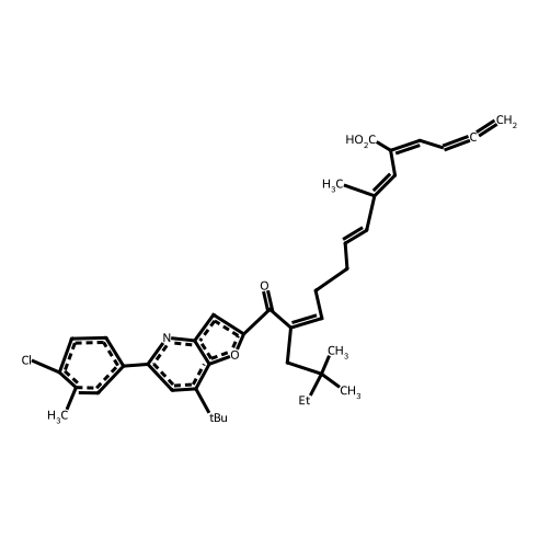 C=C=C\C=C(/C=C(C)/C=C/CC/C=C(/CC(C)(C)CC)C(=O)c1cc2nc(-c3ccc(Cl)c(C)c3)cc(C(C)(C)C)c2o1)C(=O)O